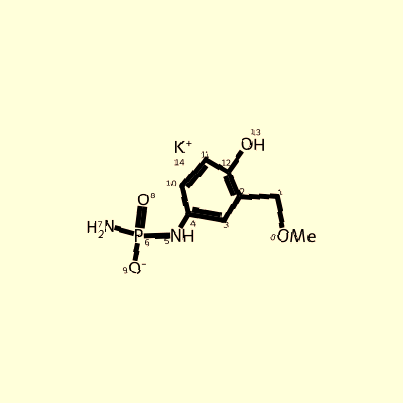 COCc1cc(NP(N)(=O)[O-])ccc1O.[K+]